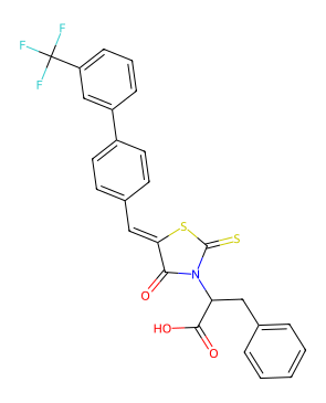 O=C(O)C(Cc1ccccc1)N1C(=O)C(=Cc2ccc(-c3cccc(C(F)(F)F)c3)cc2)SC1=S